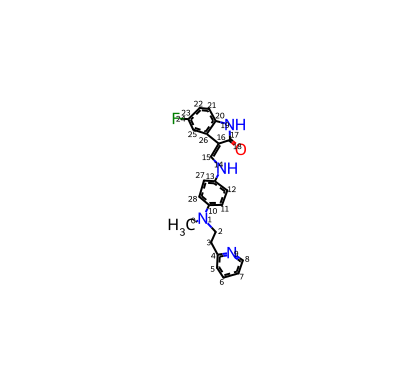 CN(CCc1ccccn1)c1ccc(N/C=C2\C(=O)Nc3ccc(F)cc32)cc1